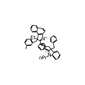 CCCN1/C(=C/C=C/C2=[N+](C)c3ccc4ccccc4c3C2(CC)Cc2cccc(C)c2)C(Cc2ccccc2)(Cc2ccccc2)c2ccccc21